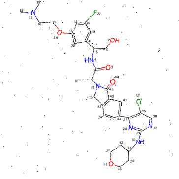 C[C@H](C(=O)N[C@H](CO)c1cc(F)cc(OCCN(C)C)c1)N1Cc2ccc(-c3nc(NC4CCOCC4)ncc3Cl)cc2C1=O